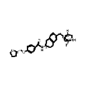 O=C(N[C@H]1CCc2cc(CN3C[C@@H]4C[C@H]3CN4)ccc2C1)c1ccc(OC[C@@H]2CCCO2)cc1